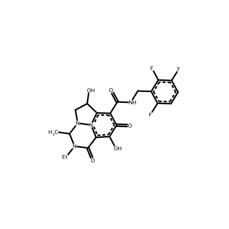 CCN1C(=O)c2c(O)c(=O)c(C(=O)NCc3c(F)ccc(F)c3F)c3n2N(CC3O)C1C